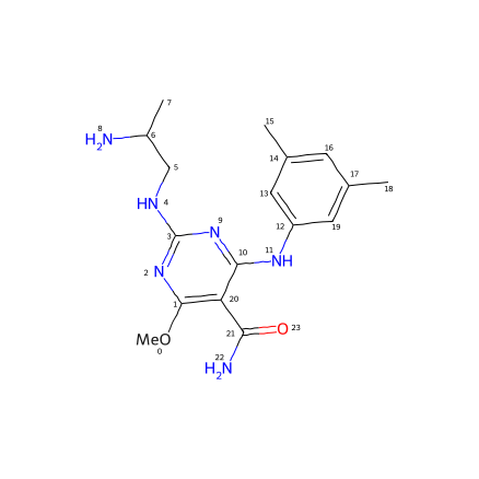 COc1nc(NCC(C)N)nc(Nc2cc(C)cc(C)c2)c1C(N)=O